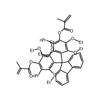 C=C(C)C(=O)Oc1c(CCC)c(OCC)c(C2(c3c(OCC)c(CCC)c(OC(=O)C(=C)C)c(OCC)c3OCC)c3ccccc3-c3ccccc32)c(OCC)c1OCC